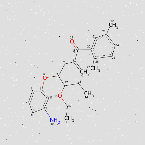 C=C(CC(Oc1cccc(N)c1)C(CC)OCC)C(=O)c1cc(C)ccc1C